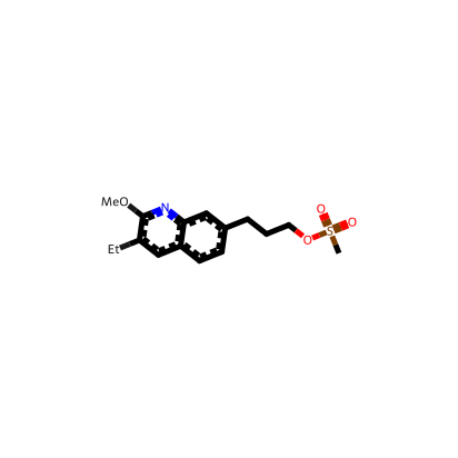 CCc1cc2ccc(CCCOS(C)(=O)=O)cc2nc1OC